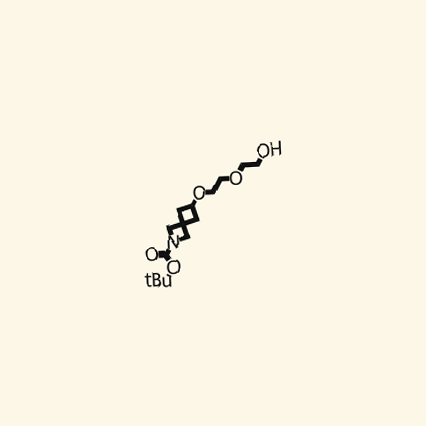 CC(C)(C)OC(=O)N1CC2(CC(OCCOCCO)C2)C1